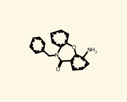 Nc1cccc2c1Oc1ccccc1N(Cc1ccccc1)C2=O